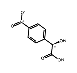 O=C(O)[C@H](O)c1ccc([N+](=O)[O-])cc1